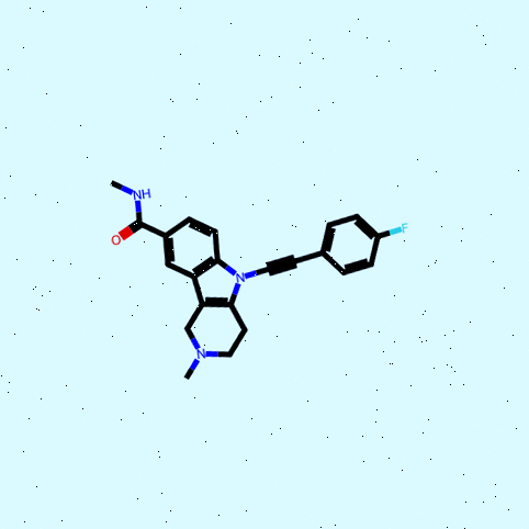 CNC(=O)c1ccc2c(c1)c1c(n2C#Cc2ccc(F)cc2)CCN(C)C1